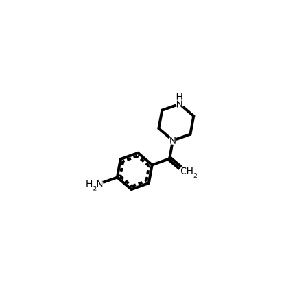 C=C(c1ccc(N)cc1)N1CCNCC1